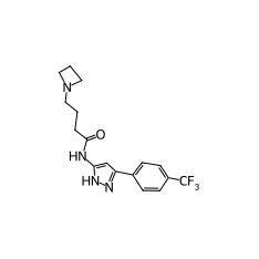 O=C(CCCN1CCC1)Nc1cc(-c2ccc(C(F)(F)F)cc2)n[nH]1